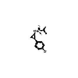 CC(C)S(=O)(=O)NC1CC1c1ccc(Br)cc1